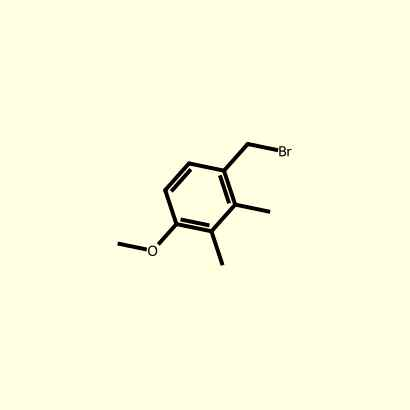 COc1ccc(CBr)c(C)c1C